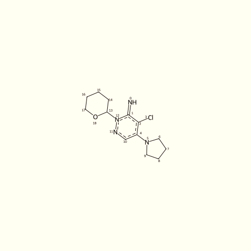 N=c1c(Cl)c(N2CCCC2)cnn1C1CCCCO1